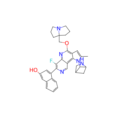 Cc1cc2c(OCC34CCCN3CCC4)nc3c(F)c(-c4cc(O)cc5ccccc45)ncc3c2n1C1C2CNC1C2